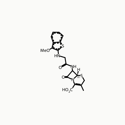 COc1c(NCC(=O)NC2C(=O)N3C(C(=O)O)=C(C)CS[C@@H]23)sc2ccccc12